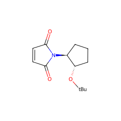 CC(C)(C)O[C@H]1CCC[C@@H]1N1C(=O)C=CC1=O